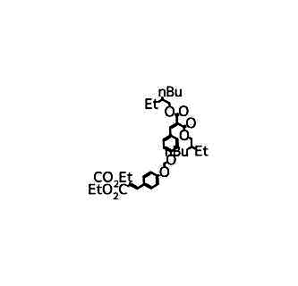 CCCCC(CC)COC(=O)C(=Cc1ccc(OCOc2ccc(C=C(C(=O)OCC)C(=O)OCC)cc2)cc1)C(=O)OCC(CC)CCCC